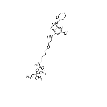 CC(C)(C)OC(=O)NCCCCOCCNc1cc(Cl)nc2c1cnn2C1CCCCO1